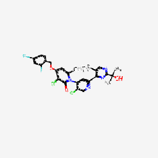 Cc1cnc(C(C)(C)O)nc1-c1cc(-n2c(C)cc(OCc3ccc(F)cc3F)c(Cl)c2=O)c(Cl)cn1